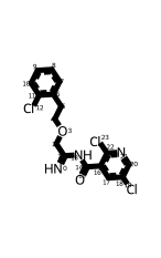 N=C(COCCc1ccccc1Cl)NC(=O)c1cc(Cl)cnc1Cl